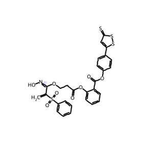 C=C(/C(=N\O)OCCC(=O)Oc1ccccc1C(=O)Oc1ccc(-c2cc(=S)ss2)cc1)S(=O)(=O)c1ccccc1